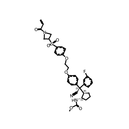 C=CC(=O)N1CC(S(=O)(=O)c2ccc(OCCOc3ccc([C@](C#N)(c4cccc(F)c4)[C@H]4CCC[C@@H]4NC(=O)OC)cc3)cc2)C1